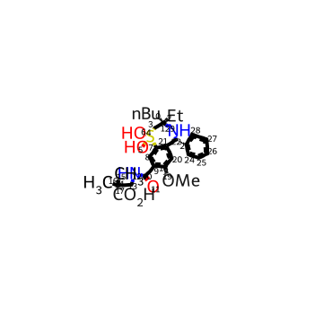 CCCC[C@]1(CC)CS(O)(O)c2cc(C(=O)NCC(C)(C)C(=O)O)c(OC)cc2[C@@H](c2ccccc2)N1